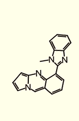 Cn1c(-c2cccc3cn4cccc4nc23)nc2ccccc21